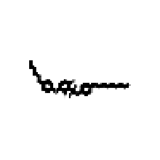 CCCCCCCCCc1ccc(OC(F)(F)c2c(F)c[c]c(Oc3ccc(CCCCCC)cc3)c2F)cc1